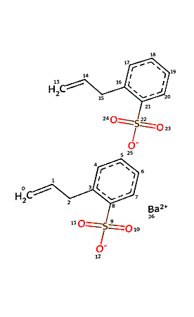 C=CCc1ccccc1S(=O)(=O)[O-].C=CCc1ccccc1S(=O)(=O)[O-].[Ba+2]